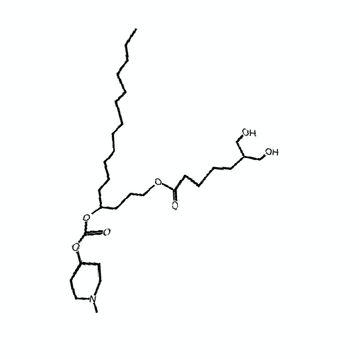 CCCCCCCCCCCCC(CCCOC(=O)CCCCC(CO)CO)OC(=O)OC1CCN(C)CC1